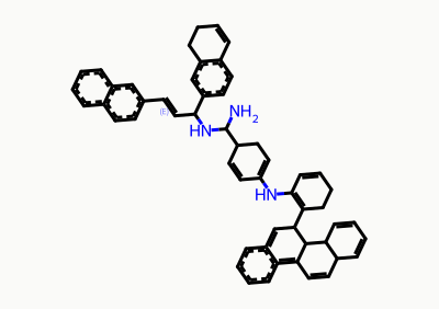 NC(NC(/C=C/c1ccc2ccccc2c1)c1ccc2c(c1)CCC=C2)C1C=CC(NC2=C(C3C=c4ccccc4=C4C=CC5C=CC=CC5C43)CCC=C2)=CC1